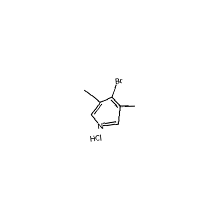 Cc1cncc(C)c1Br.Cl